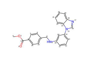 COC(=O)c1ccc(CNc2cccc(-n3cnc4ccccc43)c2)cc1